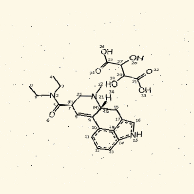 CCN(CC)C(=O)[C@@H]1C=C2c3cccc4[nH]cc(c34)C[C@H]2N(C)C1.O=C(O)C(O)C(O)C(=O)O